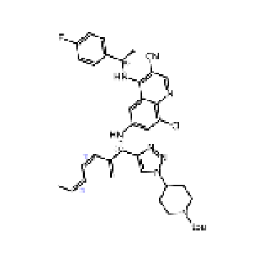 C=C(/C=C\C=C/C)[C@H](Nc1cc(Cl)c2ncc(C#N)c(N[C@H](C)c3ccc(F)cc3)c2c1)c1cn(C2CCN(C(C)(C)C)CC2)nn1